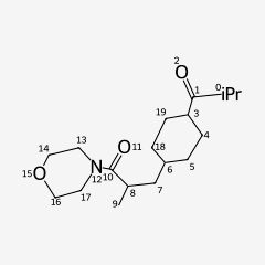 CC(C)C(=O)C1CCC(CC(C)C(=O)N2CCOCC2)CC1